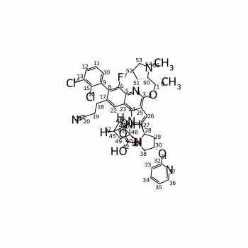 C[C@H](Oc1nc2c(F)c(-c3cccc(Cl)c3Cl)c(CCC#N)cc2c2c1cc([C@H]1C[C@H](Oc3ccccn3)CN1C(=O)O)n2[C@H]1[C@H]2CN[C@@H]1C2)[C@@H]1CCCN1C